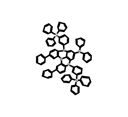 c1ccc(-c2ccc3c(c2)B2c4cc(-c5ccccc5)ccc4N(c4cccc([Si](c5ccccc5)(c5ccccc5)c5ccccc5)c4)c4cc(N(c5ccccc5)c5ccccc5)cc(c42)N3c2cccc([Si](c3ccccc3)(c3ccccc3)c3ccccc3)c2)cc1